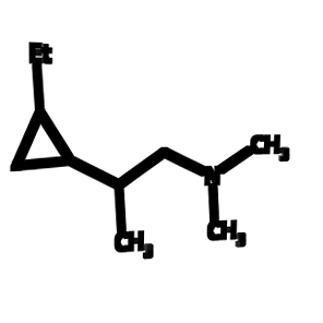 CCC1CC1C(C)CN(C)C